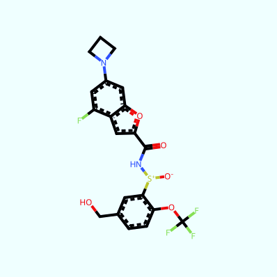 O=C(N[S+]([O-])c1cc(CO)ccc1OC(F)(F)F)c1cc2c(F)cc(N3CCC3)cc2o1